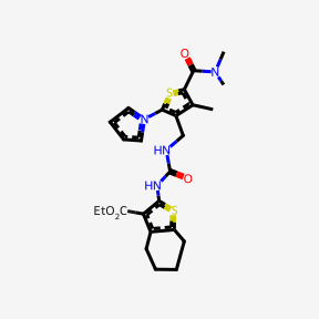 CCOC(=O)c1c(NC(=O)NCc2c(-n3cccc3)sc(C(=O)N(C)C)c2C)sc2c1CCCC2